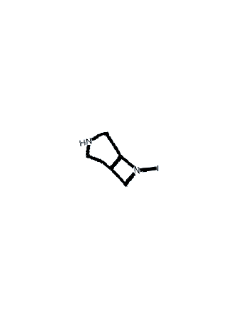 IN1CC2CNCC21